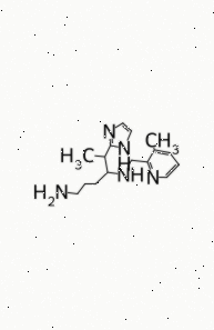 Cc1cccnc1CNC(CCCN)C(C)c1ncc[nH]1